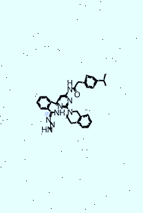 CC(C)c1ccc(CC(=O)Nc2cc(-c3ccccc3/C(N)=N/N=N)nc(N3CCc4ccccc4C3)n2)cc1